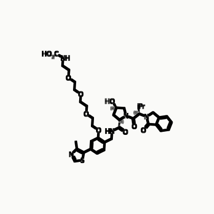 Cc1ncsc1-c1ccc(CNC(=O)[C@@H]2C[C@@H](O)CN2C(=O)[C@H](C(C)C)N2Cc3ccccc3C2=O)c(OCCOCCOCCOCCNC(=O)O)c1